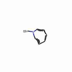 CC(C)(C)N1C=CC=CC=C1